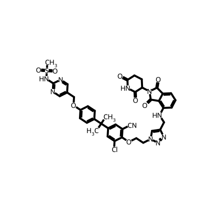 CC(C)(c1ccc(OCc2cnc(NS(C)(=O)=O)nc2)cc1)c1cc(Cl)c(OCCn2cc(CNc3cccc4c3C(=O)N(C3CCC(=O)NC3=O)C4=O)nn2)c(C#N)c1